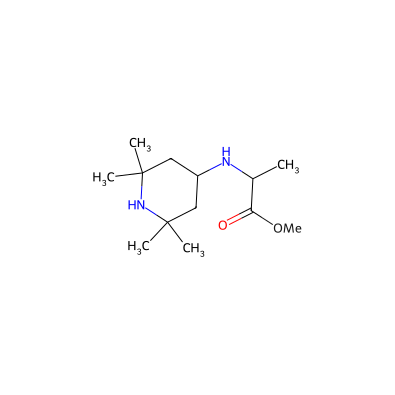 COC(=O)C(C)NC1CC(C)(C)NC(C)(C)C1